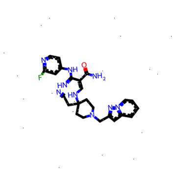 N#CCC1(N/C=C(\C(=N)Nc2ccnc(F)c2)C(N)=O)CCN(Cc2cc3ccccn3n2)CC1